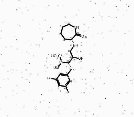 CC(C)(C)N(C(=O)O)[C@@H](Cc1cc(F)cc(F)c1)[C@H](O)CN[C@@H]1CCCCNC1=O